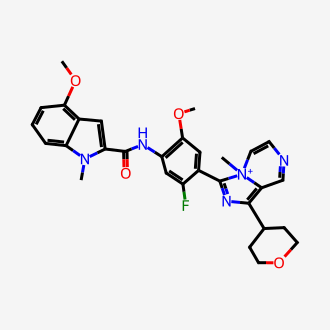 COc1cc(C2=NC(C3CCOCC3)=C3C=NC=C[N+]23C)c(F)cc1NC(=O)c1cc2c(OC)cccc2n1C